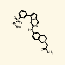 CC(C)(C)NS(=O)(=O)c1cccc(-c2ccc3cnc(Nc4ccc5c(c4)CCN(CC(N)=O)C5)nn23)c1